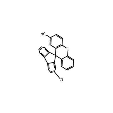 N#Cc1ccc2c(c1)C1(c3ccccc3O2)c2ccccc2-c2ccc(Cl)cc21